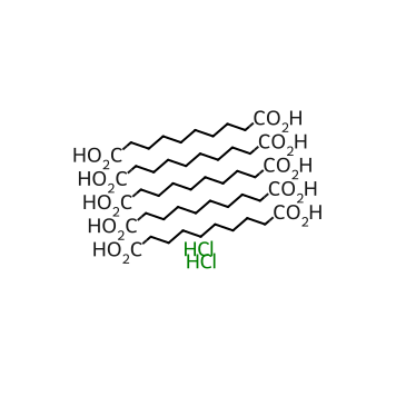 Cl.Cl.O=C(O)CCCCCCCCC(=O)O.O=C(O)CCCCCCCCC(=O)O.O=C(O)CCCCCCCCC(=O)O.O=C(O)CCCCCCCCC(=O)O.O=C(O)CCCCCCCCC(=O)O